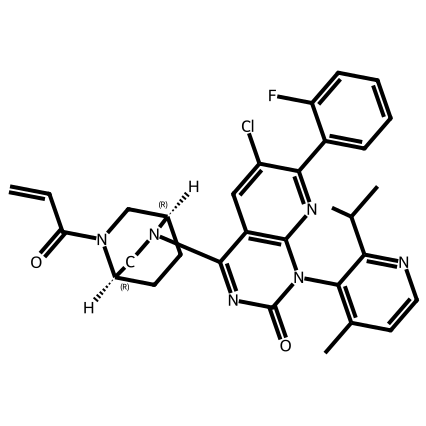 C=CC(=O)N1C[C@H]2CC[C@@H]1CN2c1nc(=O)n(-c2c(C)ccnc2C(C)C)c2nc(-c3ccccc3F)c(Cl)cc12